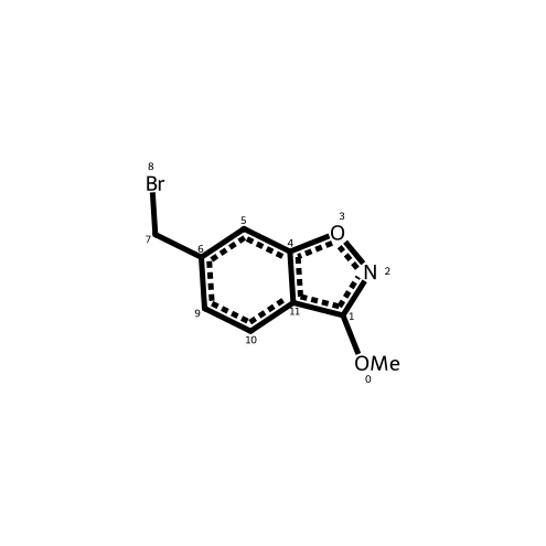 COc1noc2cc(CBr)ccc12